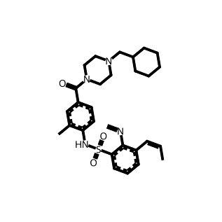 C=Nc1c(/C=C\C)cccc1S(=O)(=O)Nc1ccc(C(=O)N2CCN(CC3CCCCC3)CC2)cc1C